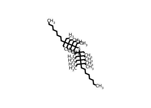 CCCCCCCCC(CC)(CC)C(CC)(CC)C(CC)(CC)C(CC)(CC)SC(CC)(CC)C(CC)(CC)C(CC)(CC)C(CC)(CC)CCCCCCCC